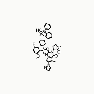 COc1ccc(F)cc1[C@H](Cn1c(=O)n([C@H]2CCN(C)C2=O)c(=O)c2c(C)c(-n3cccn3)sc21)O[C@H]1CC[C@@H](CC(C)(C)[Si](O)(c2ccccc2)c2ccccc2)CC1